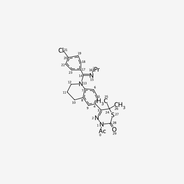 CC(=O)N1N=C(c2ccc3c(c2)CCCN3C(=NC(C)C)c2ccc(Cl)cc2)C(C)(C)SC1=O